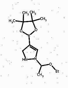 CCOC(C)N1C=C(B2OC(C)(C)C(C)(C)O2)CN1